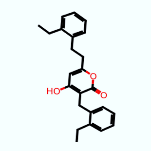 CCc1ccccc1CCc1cc(O)c(Cc2ccccc2CC)c(=O)o1